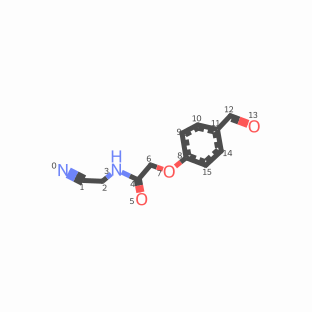 N#CCNC(=O)COc1ccc(C=O)cc1